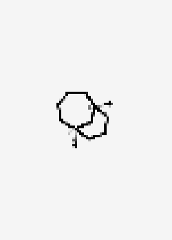 C1CC[C@H]2CCC[C@@H](C1)C2